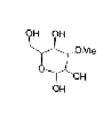 CO[C@@H]1C(O)C(O)OC(CO)[C@H]1O